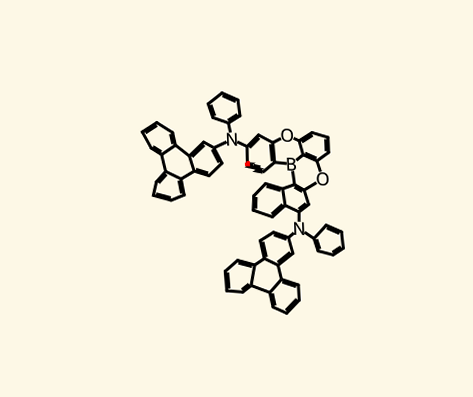 c1ccc(N(c2ccc3c4ccccc4c4ccccc4c3c2)c2cc3c(c4ccccc24)B2c4c(cccc4Oc4cc(N(c5ccccc5)c5ccc6c7ccccc7c7ccccc7c6c5)c5ccccc5c42)O3)cc1